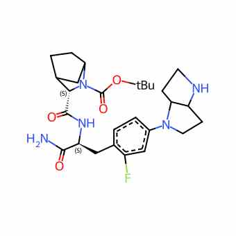 CC(C)(C)OC(=O)N1C2CCC(C2)[C@H]1C(=O)N[C@@H](Cc1ccc(N2CCC3NCCC32)cc1F)C(N)=O